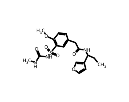 CCC(NC(=O)Cc1ccc(OC)c(S(=O)(=O)NC(=O)NC)c1)c1ccoc1